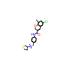 Cc1cc(Cl)cc2c1OCC(C(=O)Nc1ccc(C[N+](C)(C)C3CCSC3)cc1)=C2